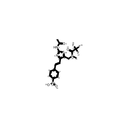 CC(=O)Nc1nc(C=Cc2ccc([N+](=O)[O-])cc2)c(CN(C)C(=O)C(F)(F)F)s1